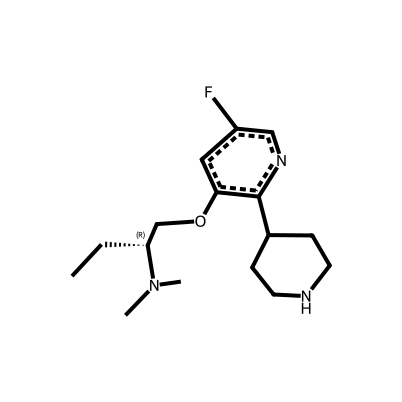 CC[C@H](COc1cc(F)cnc1C1CCNCC1)N(C)C